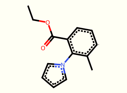 CCOC(=O)c1cc[c]c(C)c1-n1cccc1